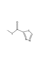 [CH2]SC(=O)c1nncs1